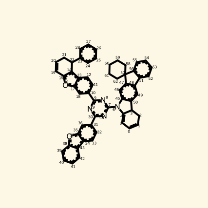 C1=CCC2C(=C1)N(c1nc(-c3ccc4c5c(oc4c3)C=CCC5c3ccccc3)nc(-c3ccc4c(c3)oc3ccccc34)n1)c1cc3c(cc12)-c1ccccc1C31CCCCC1